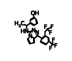 CC(Nc1nnc(-c2ccc(C(F)(F)F)cc2CC(F)(F)F)c2cccn12)c1cccc(O)c1